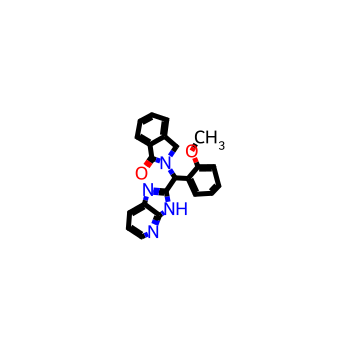 COc1ccccc1C(c1nc2cccnc2[nH]1)N1Cc2ccccc2C1=O